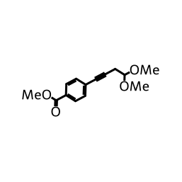 COC(=O)c1ccc(C#CCC(OC)OC)cc1